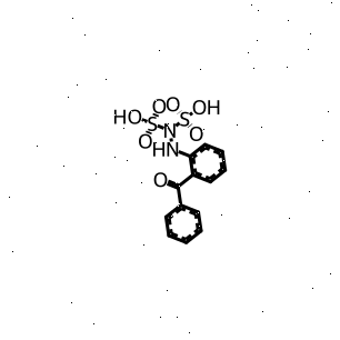 O=C(c1ccccc1)c1ccccc1NN(S(=O)(=O)O)S(=O)(=O)O